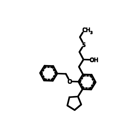 CCSCC(O)Cc1cccc(C2CCCC2)c1OCc1ccccc1